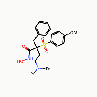 COc1ccc(S(=O)(=O)C(CCN(C(C)C)C(C)C)(Cc2ccccc2)C(=O)NO)cc1